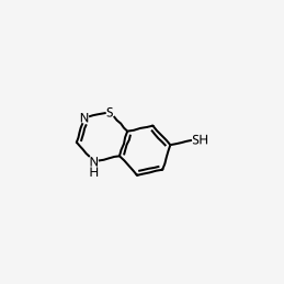 Sc1ccc2c(c1)SN=CN2